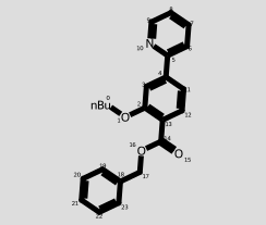 CCCCOc1cc(-c2ccccn2)ccc1C(=O)OCc1ccccc1